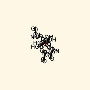 CCCCCC(C)(OB(c1ccc(Oc2ccc(C#N)c(OCCOC(C)=O)n2)cc1CO)C(C)(CCCCC)OB(O)c1ccc(Oc2ccc(C#N)c(OCCOC(C)=O)n2)cc1CO)B(O)c1ccc(Oc2ccc(C#N)c(OCCOC(C)=O)n2)cc1CO